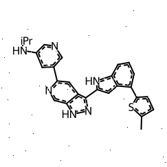 Cc1ccc(-c2cccc3[nH]c(-c4n[nH]c5cnc(-c6cncc(NC(C)C)c6)cc45)cc23)s1